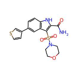 NC(=O)c1[nH]c2ccc(-c3ccsc3)cc2c1S(=O)(=O)N1CCOCC1